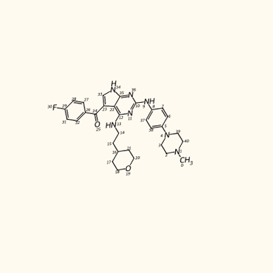 CN1CCN(c2ccc(Nc3nc(NCCC4CCOCC4)c4c(C(=O)c5ccc(F)cc5)c[nH]c4n3)cc2)CC1